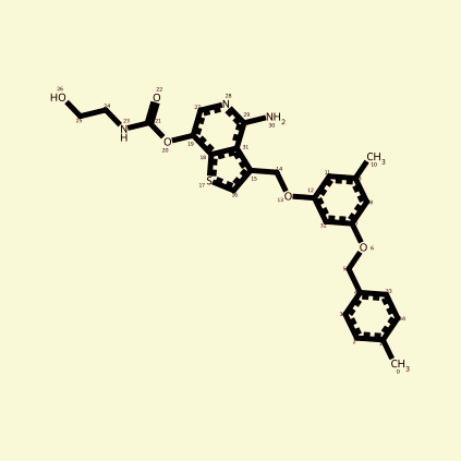 Cc1ccc(COc2cc(C)cc(OCc3csc4c(OC(=O)NCCO)cnc(N)c34)c2)cc1